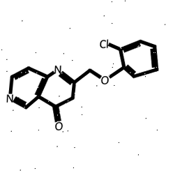 O=C1CC(COc2ccccc2Cl)=Nc2ccncc21